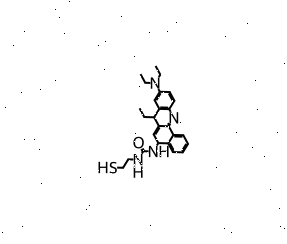 CCC1C2=CC(NC(=O)NCCS)c3ccccc3C2=Nc2ccc(N(CC)CC)cc21